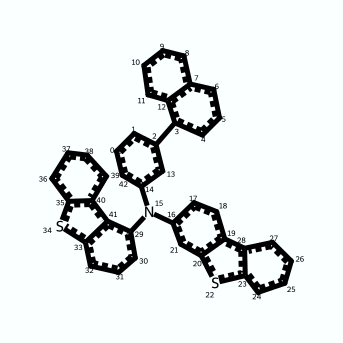 c1cc(-c2cccc3ccccc23)cc(N(c2ccc3c(c2)sc2ccccc23)c2cccc3sc4ccccc4c23)c1